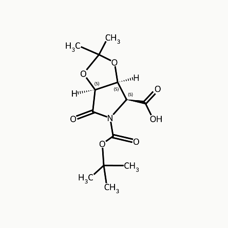 CC(C)(C)OC(=O)N1C(=O)[C@H]2OC(C)(C)O[C@H]2[C@H]1C(=O)O